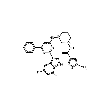 Nc1nc(C(=O)N[C@@H]2CCC[C@H](Nc3cc(-c4ccccc4)nc(-c4c[nH]c5c(F)cc(F)cc45)n3)C2)cs1